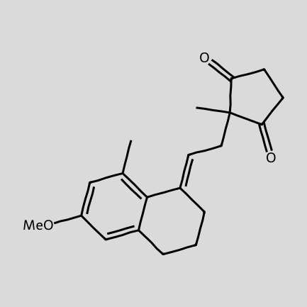 COc1cc(C)c2c(c1)CCCC2=CCC1(C)C(=O)CCC1=O